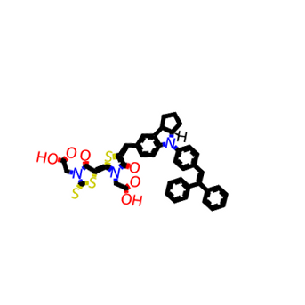 O=C(O)CN1C(=O)/C(=c2\s/c(=C/c3ccc4c(c3)C3CCC[C@H]3N4c3ccc(C=C(c4ccccc4)c4ccccc4)cc3)c(=O)n2CC(=O)O)SC1=S